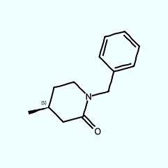 C[C@H]1CCN(Cc2ccccc2)C(=O)C1